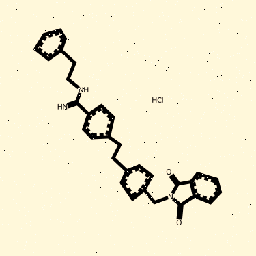 Cl.N=C(NCCc1ccccc1)c1ccc(CCc2ccc(CN3C(=O)c4ccccc4C3=O)cc2)cc1